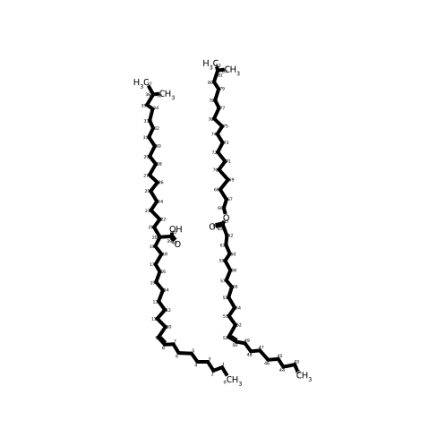 CCCCCCCC/C=C\CCCCCCCCCCC(CCCCCCCCCCCCCCCC(C)C)C(=O)O.CCCCCCCC/C=C\CCCCCCCCCCCC(=O)OCCCCCCCCCCCCCCCC(C)C